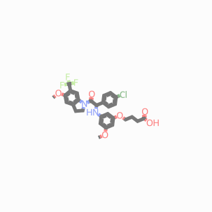 COc1cc(NC(C(=O)N2CCc3cc(OC)c(C(F)(F)F)cc32)c2ccc(Cl)cc2)cc(OCCCC(=O)O)c1